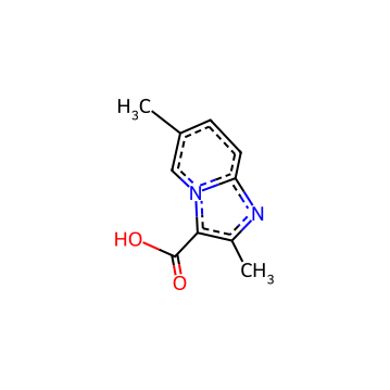 Cc1ccc2nc(C)c(C(=O)O)n2c1